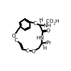 CC(C)[C@H]1COC/C=C/COc2ccc(cc2)C[C@@H](NC(=O)O)C(=O)N1